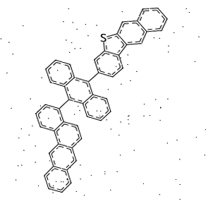 c1ccc2cc3c(ccc4c(-c5c6ccccc6c(-c6ccc7c(c6)sc6cc8ccccc8cc67)c6ccccc56)cccc43)cc2c1